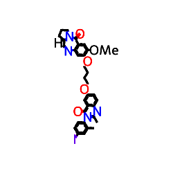 COc1cc2c(cc1OCCCCOc1ccc3nc(C)n(-c4ccc(I)cc4C)c(=O)c3c1)N=C[C@@H]1CCCN1C2=O